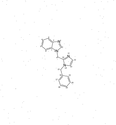 [c]1nc2ccccc2n1Cc1nccn1Cc1ccccc1